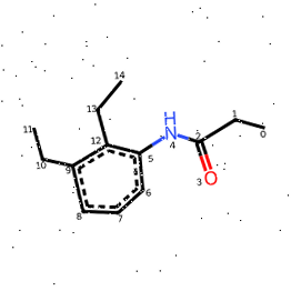 CCC(=O)Nc1cccc(CC)c1CC